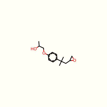 CC(O)COc1ccc(C(C)(C)CC2CO2)cc1